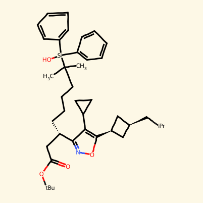 CC(C)C[C@H]1C[C@@H](c2onc([C@@H](CCCCC(C)(C)[Si](O)(c3ccccc3)c3ccccc3)CC(=O)OC(C)(C)C)c2C2CC2)C1